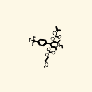 CCN1C(C)=C(OC(=O)OCCOC)C(c2ccc(C(F)(F)F)cc2)C(OC(=O)OC(C)C)=C1C